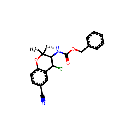 CC1(C)Oc2ccc(C#N)cc2C(Cl)C1NC(=O)OCc1ccccc1